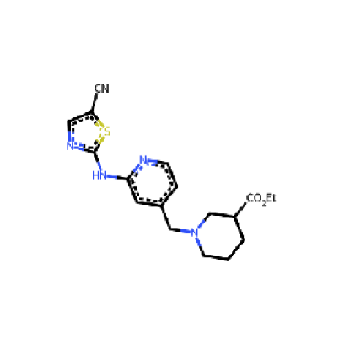 CCOC(=O)C1CCCN(Cc2ccnc(Nc3ncc(C#N)s3)c2)C1